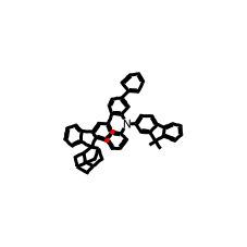 CC1(C)c2ccccc2-c2ccc(N(c3ccccc3)c3cc(-c4ccccc4)ccc3-c3ccc4c(c3)-c3ccccc3C43C4CC5CC(C4)CC3C5)cc21